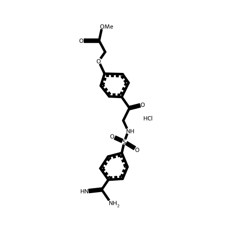 COC(=O)COc1ccc(C(=O)CNS(=O)(=O)c2ccc(C(=N)N)cc2)cc1.Cl